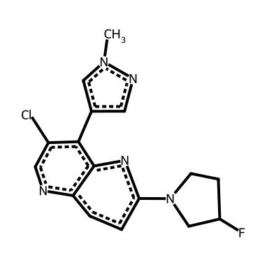 Cn1cc(-c2c(Cl)cnc3ccc(N4CCC(F)C4)nc23)cn1